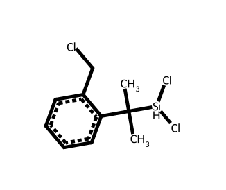 CC(C)(c1ccccc1CCl)[SiH](Cl)Cl